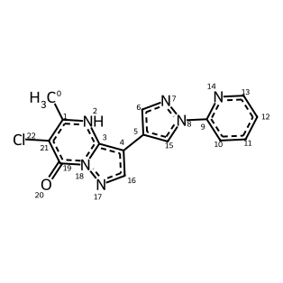 Cc1[nH]c2c(-c3cnn(-c4ccccn4)c3)cnn2c(=O)c1Cl